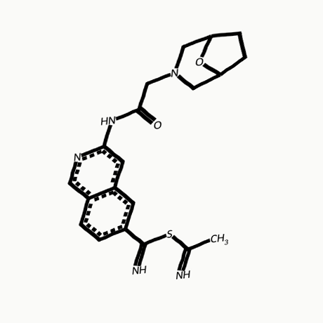 CC(=N)SC(=N)c1ccc2cnc(NC(=O)CN3CC4CCC(C3)O4)cc2c1